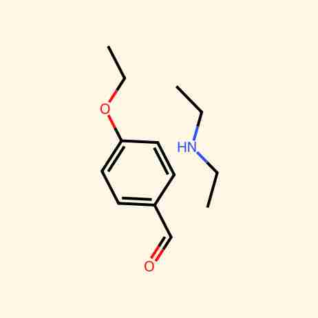 CCNCC.CCOc1ccc(C=O)cc1